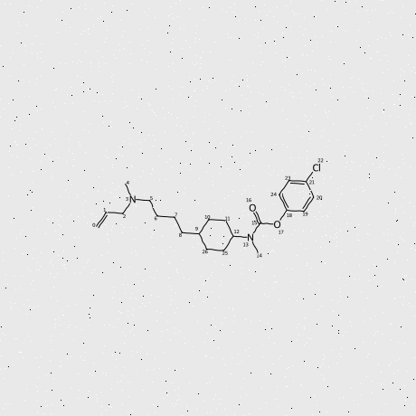 C=CCN(C)CCCCC1CCC(N(C)C(=O)Oc2ccc(Cl)cc2)CC1